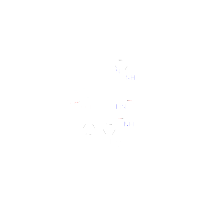 O=C(O)C(F)(F)F.O=C(O)CC(NC(=O)CNC(=O)CCCNc1ccccn1)c1ccc(-c2ccccc2)c(O)c1